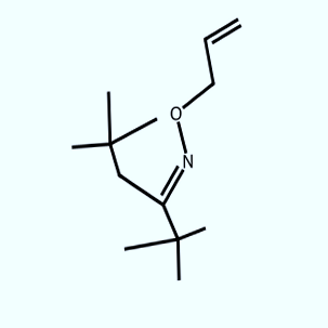 C=CCO/N=C(\CC(C)(C)C)C(C)(C)C